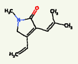 C=CC1=C(C=C(C)C)C(=O)N(C)C1